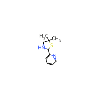 CC1(C)CNC(c2ccccn2)S1